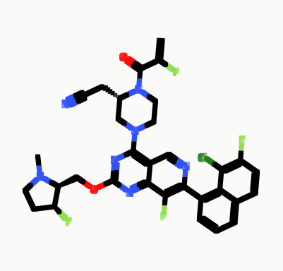 C=C(F)C(=O)N1CCN(c2nc(OC[C@H]3[C@@H](F)CCN3C)nc3c(F)c(-c4cccc5ccc(F)c(Cl)c45)ncc23)C[C@@H]1CC#N